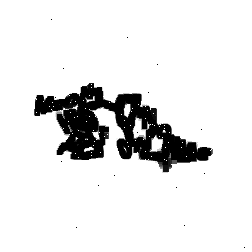 CNC(=O)[C@@H](C)Cn1cnc2ccc(-c3cnc(OC)c(NS(=O)(=O)c4c(F)cccc4F)c3)cc2c1=O